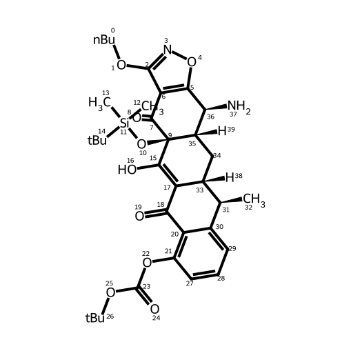 CCCCOc1noc2c1C(=O)[C@@]1(O[Si](C)(C)C(C)(C)C)C(O)=C3C(=O)c4c(OC(=O)OC(C)(C)C)cccc4[C@H](C)[C@H]3C[C@H]1[C@@H]2N